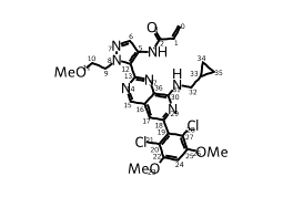 C=CC(=O)Nc1cnn(CCOC)c1-c1ncc2cc(-c3c(Cl)c(OC)cc(OC)c3Cl)nc(NCC3CC3)c2n1